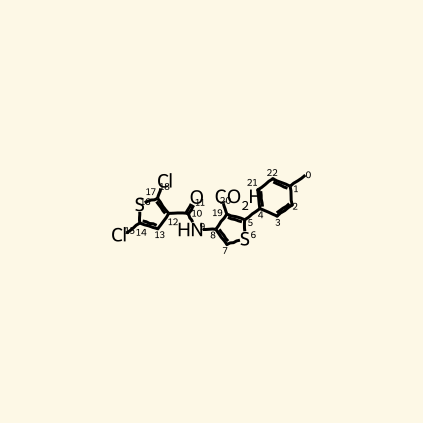 Cc1ccc(-c2scc(NC(=O)c3cc(Cl)sc3Cl)c2C(=O)O)cc1